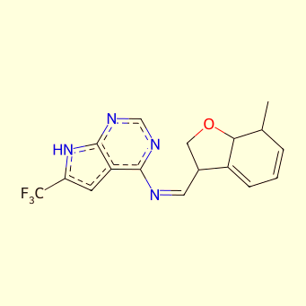 CC1C=CC=C2C(/C=N\c3ncnc4[nH]c(C(F)(F)F)cc34)COC21